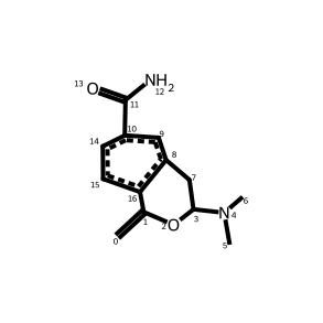 C=C1OC(N(C)C)Cc2cc(C(N)=O)ccc21